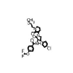 COCCn1cccc(N2C[C@@H](c3ccc(Cl)cc3)C(NC(=O)c3ccc(OC(F)F)cc3)C2=O)c1=O